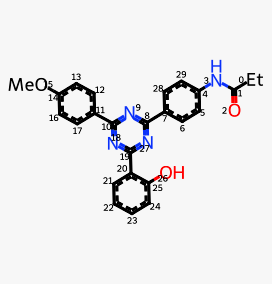 CCC(=O)Nc1ccc(-c2nc(-c3ccc(OC)cc3)nc(-c3ccccc3O)n2)cc1